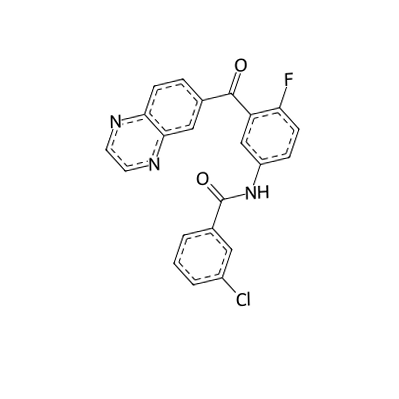 O=C(Nc1ccc(F)c(C(=O)c2ccc3nccnc3c2)c1)c1cccc(Cl)c1